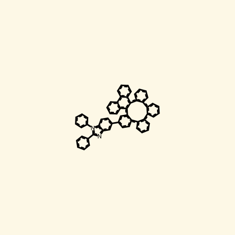 c1ccc(-c2nc3cc(-c4ccc5c6ccccc6c6ccccc6c6ccccc6c6c7ccccc7c7ccccc7c6c5c4)ccc3n2-c2ccccc2)cc1